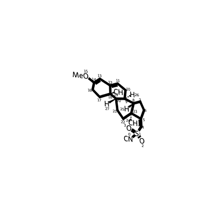 [C-]#[N+]S(=O)(=O)/C=C1/CC[C@H]2[C@@H]3CC=C4C=C(OC)CC[C@]4(C)[C@H]3CC[C@]12C